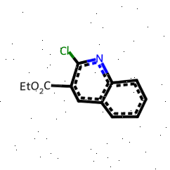 CCOC(=O)c1cc2ccccc2nc1Cl